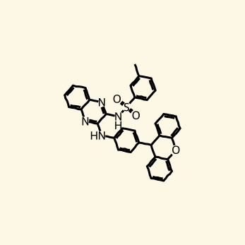 Cc1cccc(S(=O)(=O)Nc2nc3ccccc3nc2Nc2ccc(C3c4ccccc4Oc4ccccc43)cc2)c1